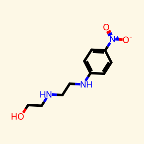 O=[N+]([O-])c1ccc(NCCNCCO)cc1